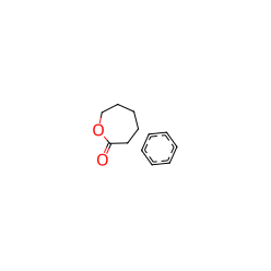 O=C1CCCCCO1.c1ccccc1